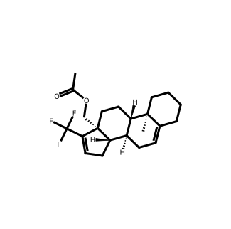 CC(=O)OC[C@]12CC[C@H]3[C@@H](CC=C4CCCC[C@@]43C)[C@@H]1CC=C2C(F)(F)F